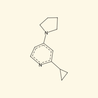 c1cc(N2CCCC2)cc(C2CC2)n1